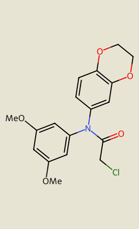 COc1cc(OC)cc(N(C(=O)CCl)c2ccc3c(c2)OCCO3)c1